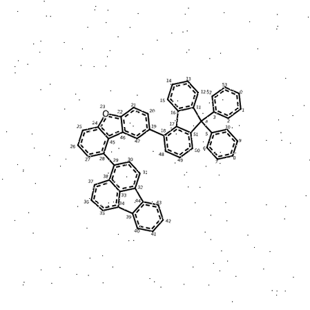 c1ccc(C2(c3ccccc3)c3ccccc3-c3c(-c4ccc5oc6cccc(-c7ccc8c9c(cccc79)-c7ccccc7-8)c6c5c4)cccc32)cc1